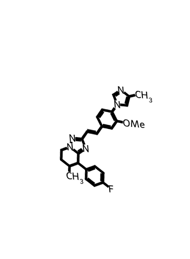 COc1cc(C=Cc2nc3n(n2)CCC(C)C3c2ccc(F)cc2)ccc1-n1cnc(C)c1